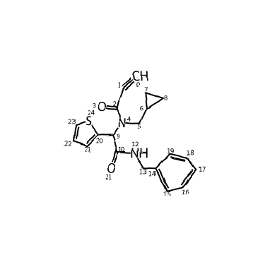 C#CC(=O)N(CC1CC1)C(C(=O)NCc1ccccc1)c1cccs1